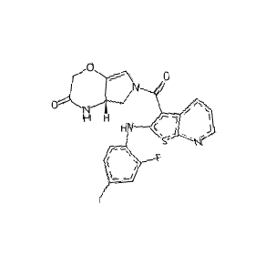 O=C1COC2=CN(C(=O)c3c(Nc4ccc(I)cc4F)sc4ncccc34)C[C@@H]2N1